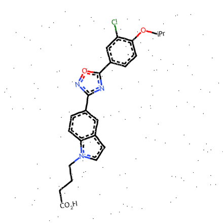 CC(C)Oc1ccc(-c2nc(-c3ccc4c(ccn4CCCC(=O)O)c3)no2)cc1Cl